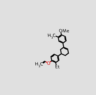 C=COc1ccc(C2CCC=C(c3ccc(OC)c(C)c3)C2)cc1CC